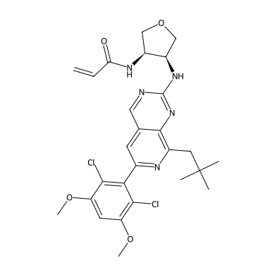 C=CC(=O)N[C@H]1COC[C@H]1Nc1ncc2cc(-c3c(Cl)c(OC)cc(OC)c3Cl)nc(CC(C)(C)C)c2n1